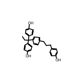 CCC(c1ccc(O)cc1)(c1ccc(O)cc1)c1ccc(CCCc2ccc(O)cc2)cc1